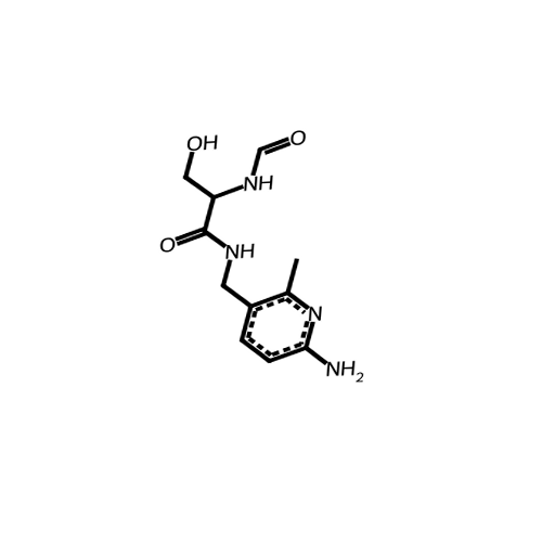 Cc1nc(N)ccc1CNC(=O)C(CO)NC=O